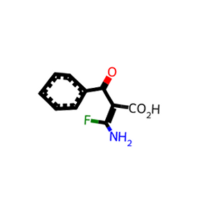 NC(F)=C(C(=O)O)C(=O)c1ccccc1